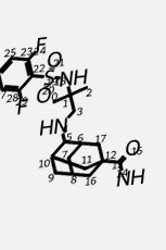 CC(C)(CNC1C2CC3CC1CC(C(N)=O)(C3)C2)NS(=O)(=O)c1c(F)cccc1F